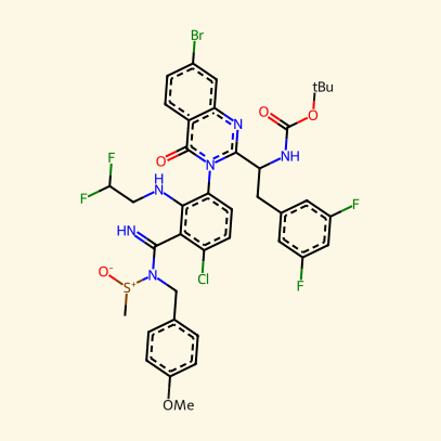 COc1ccc(CN(C(=N)c2c(Cl)ccc(-n3c(C(Cc4cc(F)cc(F)c4)NC(=O)OC(C)(C)C)nc4cc(Br)ccc4c3=O)c2NCC(F)F)[S+](C)[O-])cc1